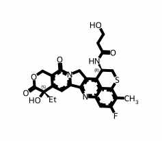 CC[C@@]1(O)C(=O)OCc2c1cc1n(c2=O)Cc2c-1nc1cc(F)c(C)c3c1c2[C@@H](NC(=O)CCO)CS3